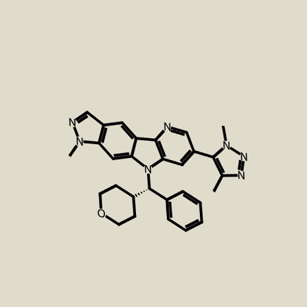 Cc1nnn(C)c1-c1cnc2c3cc4cnn(C)c4cc3n([C@H](c3ccccc3)C3CCOCC3)c2c1